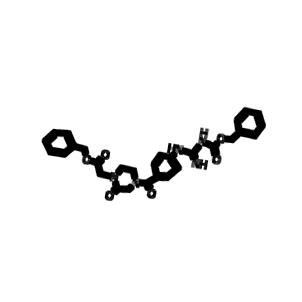 N=C(NC(=O)OCc1ccccc1)Nc1ccc(C(=O)N2CCN(CC(=O)OCc3ccccc3)C(=O)C2)cc1